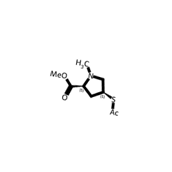 COC(=O)[C@@H]1C[C@H](SC(C)=O)CN1C